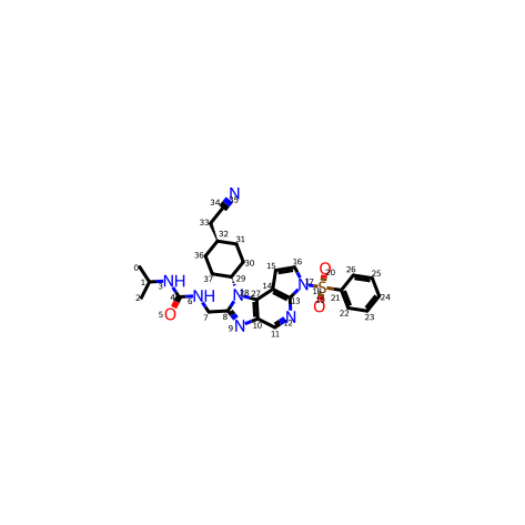 CC(C)NC(=O)NCc1nc2cnc3c(ccn3S(=O)(=O)c3ccccc3)c2n1[C@H]1CC[C@H](CC#N)CC1